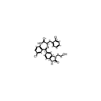 O=C1Nc2ccc(Cl)cc2C(c2ccc3[nH]c(=O)n(CCO)c3c2)=NC1Cc1ccccc1Cl